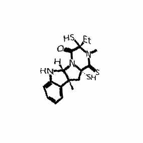 CC[C@]1(S)C(=O)N2[C@H]3Nc4ccccc4[C@@]3(C)C[C@]2(S)C(=S)N1C